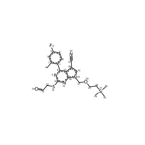 Cc1cc(F)ccc1-c1nc(SCC=O)nc2c1c(C#N)cn2COCC[Si](C)(C)C